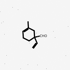 C=CC1(C=O)CCC=C(C)C1